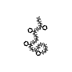 C[Si](C)(C)O[Si](C)(C)O[Si](C)(O[Si](C)(C)O[Si](C)(O[Si](C)(C)O[Si](C)(C)O[Si](C)(C)O[Si](C)(O[Si](C)(C)O[Si](C)(C)O[Si](C)(C)O[Si](C)(C)O[Si](C)(C)O[Si](C)(C)O[Si](C)(C)c1ccccc1)c1ccccc1)c1ccccc1)c1ccccc1